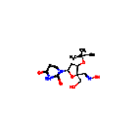 CC(C)(C)[Si](C)(C)OC1C[C@@H](n2ccc(=O)[nH]c2=O)O[C@@]1(C=NO)CO